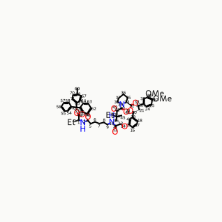 CCC(NC(=O)CCCCCNC(=O)COc1cccc([C@@H](CCc2ccc(OC)c(OC)c2)OC(=O)[C@@H]2CCCCN2C(=O)C(=O)C(C)(C)CC)c1)C(=O)OC(c1ccccc1)(c1ccccc1)c1ccc(C)cc1